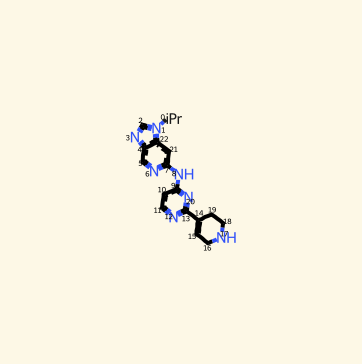 CC(C)n1cnc2cnc(Nc3ccnc(C4=CCNCC4)n3)cc21